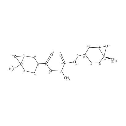 CC(OC(=O)C1CCC2(C)OC2C1)C(=O)OCC1CC[C@@]2(C)OC2C1